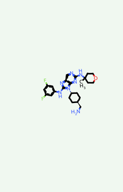 CC1(Nc2ncc3nc(Nc4cc(F)cc(F)c4)n([C@H]4CC[C@H](CN)CC4)c3n2)CCOCC1